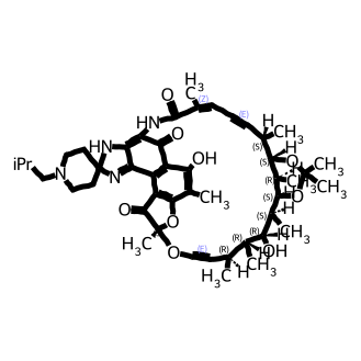 C/C1=C/C=C/[C@H](C)[C@@H]2OC(C)(C)O[C@@H]([C@@H](C)[C@H](O)[C@H](C)[C@@H](C)/C=C/O[C@@]3(C)Oc4c(C)c(O)c5c(c4C3=O)C3=NC4(CCN(CC(C)C)CC4)NC3=C(NC1=O)C5=O)[C@@H]2C